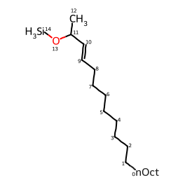 CCCCCCCCCCCCCCCCC=CC(C)O[SiH3]